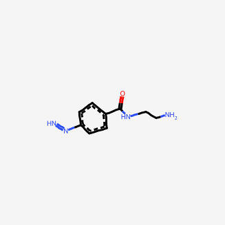 N=Nc1ccc(C(=O)NCCN)cc1